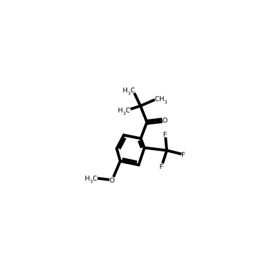 COc1ccc(C(=O)C(C)(C)C)c(C(F)(F)F)c1